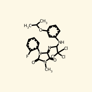 CC(C)Oc1cccc(NC(N=C2C(=O)N(C)C(=O)N2c2ccccc2F)C(Cl)(Cl)Cl)c1